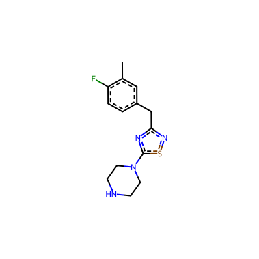 Cc1cc(Cc2nsc(N3CCNCC3)n2)ccc1F